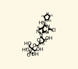 O=P(O)(O)C(CO)(CO)OC[C@@H]1C[C@@H](O)[C@H](n2ncc3c(NC4CCCC4)nc(Cl)nc32)O1